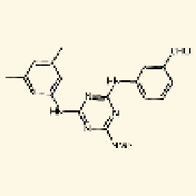 CNc1nc(Nc2cc(C)cc(C)c2)nc(Nc2cccc(C=O)c2)n1